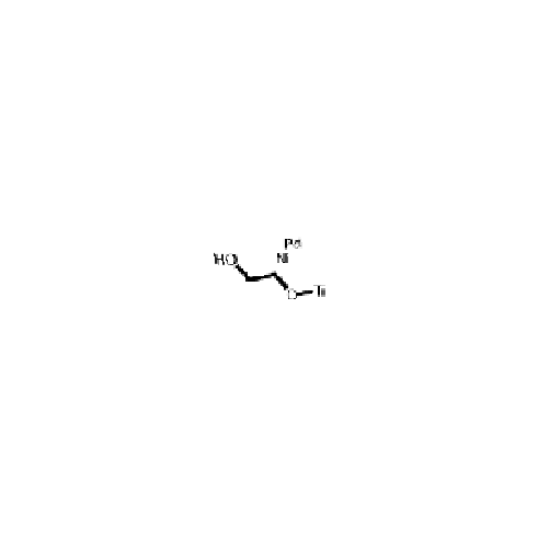 OCC[O][Ti].[Ni].[Pd]